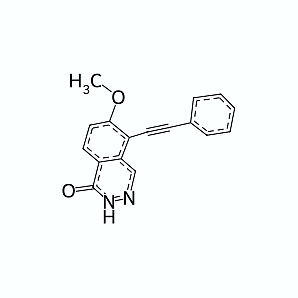 COc1ccc2c(=O)[nH]ncc2c1C#Cc1ccccc1